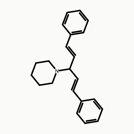 C(=CC(C=Cc1ccccc1)N1CCCCC1)c1ccccc1